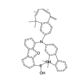 C=C1/C=C\C=C/C(C)(C)c2cc(N(c3ccc4c(c3)C(C)(C)c3ccccc3-4)c3cccc4c3oc3c(B(O)O)cccc34)ccc21